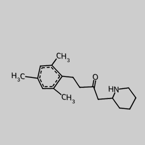 Cc1cc(C)c(CCC(=O)CC2CCCCN2)c(C)c1